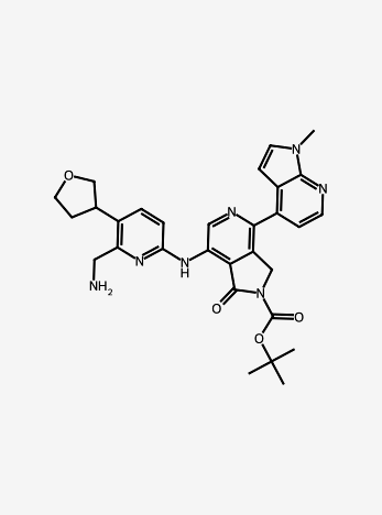 Cn1ccc2c(-c3ncc(Nc4ccc(C5CCOC5)c(CN)n4)c4c3CN(C(=O)OC(C)(C)C)C4=O)ccnc21